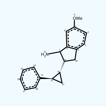 COc1ccc2c(c1)C(N)C([C@@H]1C[C@H]1c1ccccc1)C2